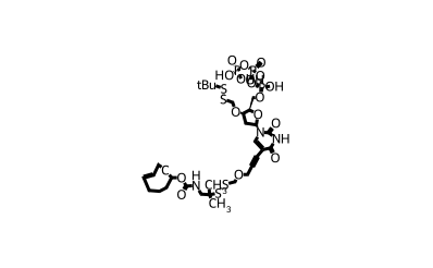 CC(C)(C)SSCO[C@@H]1C[C@H](n2cc(C#CCOCSSC(C)(C)CNC(=O)OC3CC/C=C/CCC3)c(=O)[nH]c2=O)O[C@@H]1COP(=O)(O)OP(=O)(O)OP(=O)(O)O